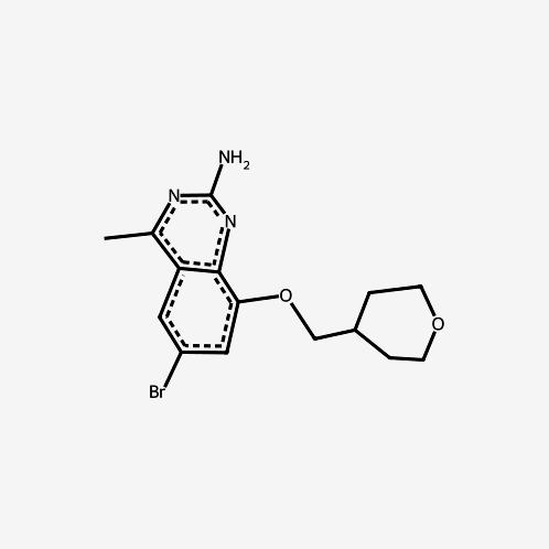 Cc1nc(N)nc2c(OCC3CCOCC3)cc(Br)cc12